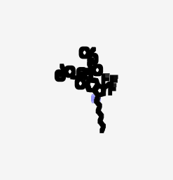 CCCCCC/C=C1\C=C(C(F)(F)F)c2cc(OC(=O)COC(C)=O)c(OC(=O)COC(C)=O)cc21